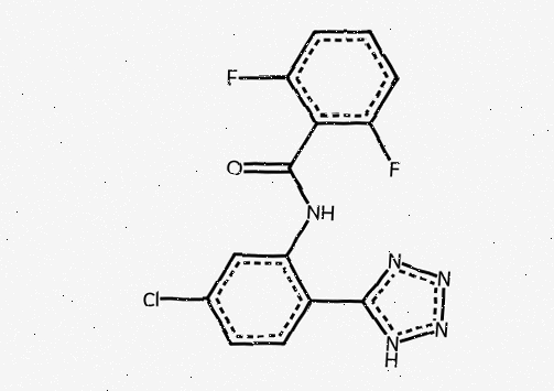 O=C(Nc1cc(Cl)ccc1-c1nnn[nH]1)c1c(F)cccc1F